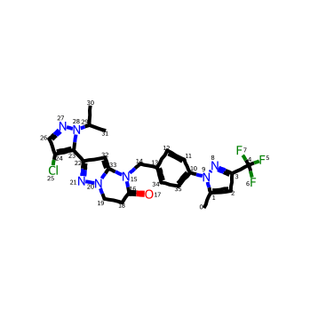 Cc1cc(C(F)(F)F)nn1-c1ccc(CN2C(=O)CCn3nc(-c4c(Cl)cnn4C(C)C)cc32)cc1